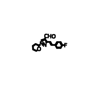 O=Cc1cn(C2CCCCO2)nc1C=Cc1ccc(F)cc1